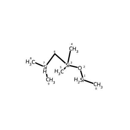 C[SiH2]O[Si](C)(C)C[SiH](C)C